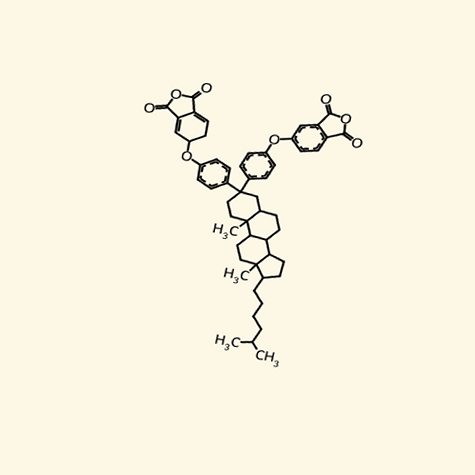 CC(C)CCCCC1CCC2C3CCC4CC(c5ccc(Oc6ccc7c(c6)C(=O)OC7=O)cc5)(c5ccc(OC6C=C7C(=O)OC(=O)C7=CC6)cc5)CCC4(C)C3CCC12C